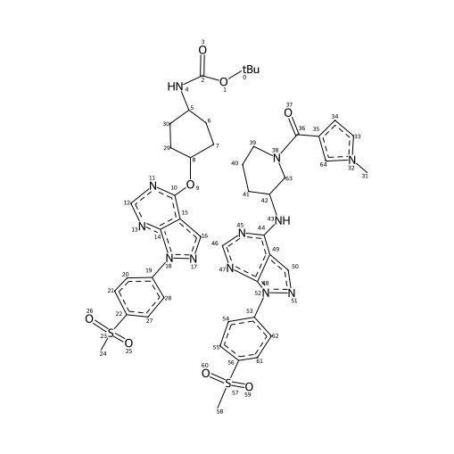 CC(C)(C)OC(=O)NC1CCC(Oc2ncnc3c2cnn3-c2ccc(S(C)(=O)=O)cc2)CC1.Cn1ccc(C(=O)N2CCCC(Nc3ncnc4c3cnn4-c3ccc(S(C)(=O)=O)cc3)C2)c1